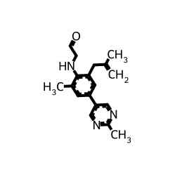 C=C(C)Cc1cc(-c2cnc(C)nc2)cc(C)c1NCC=O